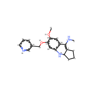 CNC1=C2CCCC2Nc2cc(OCc3cccnc3)c(OC)cc21